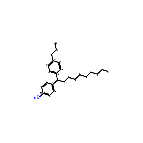 CCCCCCCCCC(c1ccc(N)cc1)c1ccc(CCC)cc1